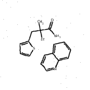 CCC(C)(Cc1cccs1)C(N)=O.c1ccc2ncccc2c1